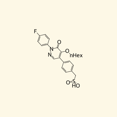 CCCCCCOc1c(-c2ccc(C[SH](=O)=O)cc2)cnn(-c2ccc(F)cc2)c1=O